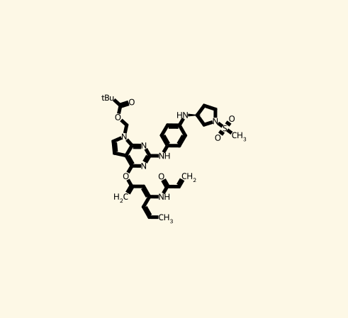 C=CC(=O)NC(/C=C\C)=C/C(=C)Oc1nc(Nc2ccc(N[C@H]3CCN(S(C)(=O)=O)C3)cc2)nc2c1ccn2COC(=O)C(C)(C)C